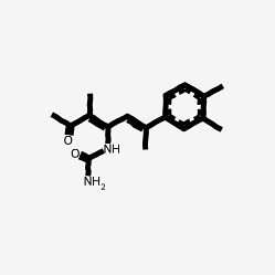 CC(=O)/C(C)=C(/C=C(\C)c1ccc(C)c(C)c1)NC(N)=O